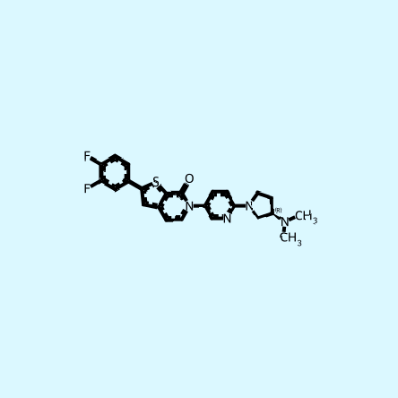 CN(C)[C@@H]1CCN(c2ccc(-n3ccc4cc(-c5ccc(F)c(F)c5)sc4c3=O)cn2)C1